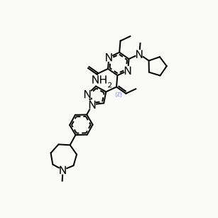 C=C(N)c1nc(CC)c(N(C)C2CCCC2)nc1/C(=C\C)c1cnn(-c2ccc(C3CCCN(C)CC3)cc2)c1